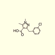 Cc1c(C(=O)O)c(Cc2cccc(Cl)c2)nn1C